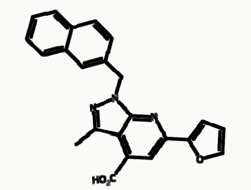 Cc1nn(Cc2ccc3ccccc3c2)c2nc(-c3ccco3)cc(C(=O)O)c12